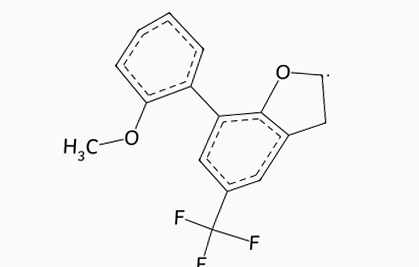 COc1ccccc1-c1cc(C(F)(F)F)cc2c1O[CH]C2